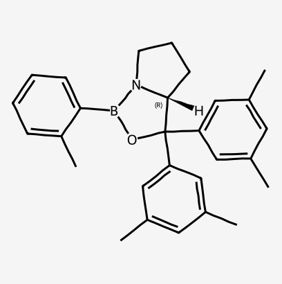 Cc1cc(C)cc(C2(c3cc(C)cc(C)c3)OB(c3ccccc3C)N3CCC[C@@H]32)c1